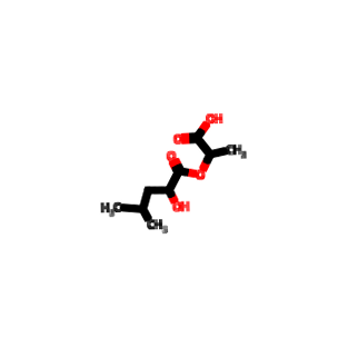 CC(C)CC(O)C(=O)OC(C)C(=O)O